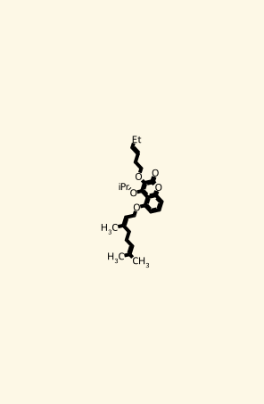 CCC=CCCOc1c(OC(C)C)c2c(OCC=C(C)CCC=C(C)C)cccc2oc1=O